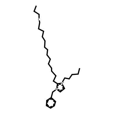 CCCCCCCCCCCCCCCCCCc1n(Cc2ccccc2)cc[n+]1CCCCC